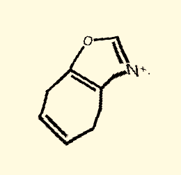 C1=CCC2=C(C1)[N+]=CO2